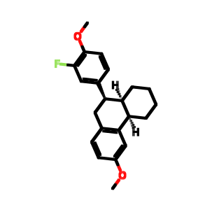 COc1ccc2c(c1)[C@@H]1CCCC[C@@H]1[C@H](c1ccc(OC)c(F)c1)C2